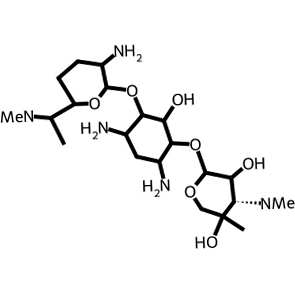 CNC(C)C1CCC(N)C(OC2C(N)CC(N)C(OC3OCC(C)(O)[C@@H](NC)C3O)C2O)O1